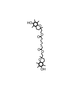 Cc1c(C)c2c(c(C)c1O)CCC(C)(CCOC(=O)CSCSCC(=O)OCCC1(C)CCc3c(C)c(O)c(C)c(C)c3O1)O2